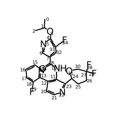 CC(C)Oc1ncc(C(=O)Nc2c(-c3ncccc3F)ccnc2C2CCC(F)(F)CO2)cc1F